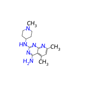 Cc1cc(C)c2c(N)nc(NC3CCN(C)CC3)nc2n1